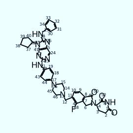 O=C1CCC(N2Cc3c(ccc(CN4CCN(c5ccc(Nc6ncc7nc(Nc8ccccc8)n(C8CCCC8)c7n6)cc5)CC4)c3F)C2=O)C(=O)N1